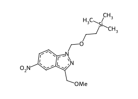 COCc1nn(COCC[Si](C)(C)C)c2ccc([N+](=O)[O-])cc12